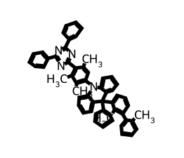 Cc1ccccc1-c1cccc(C2(c3ccccc3)c3ccccc3N(c3cc(C)c(-c4nc(-c5ccccc5)nc(-c5ccccc5)n4)c(C)c3C)c3ccccc32)c1C